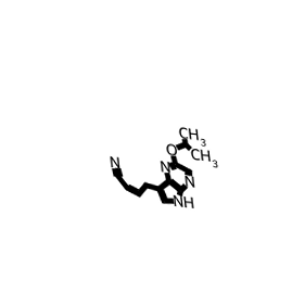 CC(C)Oc1cnc2[nH]cc(C/C=C\C#N)c2n1